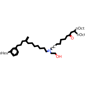 C=C(CCCCCCCN(CCO)CCCCCCCC(=O)CC(CCCCCCCC)CCCCCCCC)CCCc1cccc(CCCCCC)c1